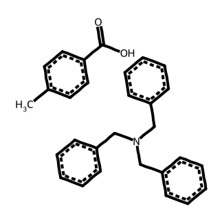 Cc1ccc(C(=O)O)cc1.c1ccc(CN(Cc2ccccc2)Cc2ccccc2)cc1